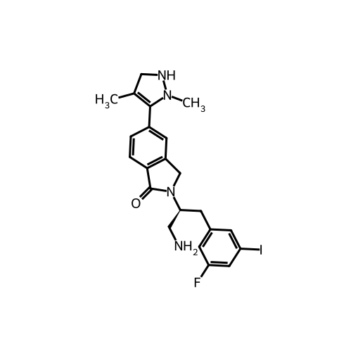 CC1=C(c2ccc3c(c2)CN([C@H](CN)Cc2cc(F)cc(I)c2)C3=O)N(C)NC1